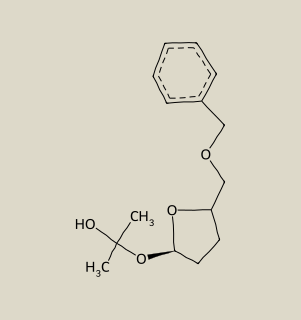 CC(C)(O)O[C@@H]1CCC(COCc2ccccc2)O1